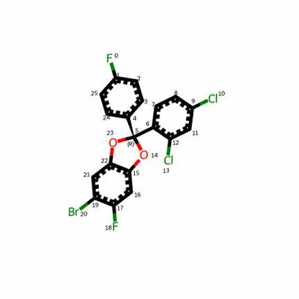 Fc1ccc([C@@]2(c3ccc(Cl)cc3Cl)Oc3cc(F)c(Br)cc3O2)cc1